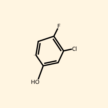 Oc1[c]cc(F)c(Cl)c1